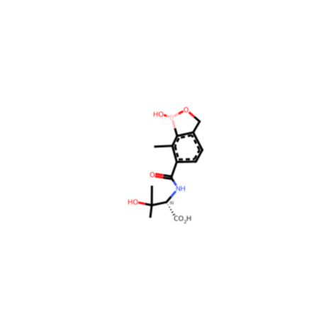 Cc1c(C(=O)N[C@H](C(=O)O)C(C)(C)O)ccc2c1B(O)OC2